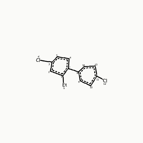 CCc1cc(Cl)ccc1-c1ccc(Cl)cc1